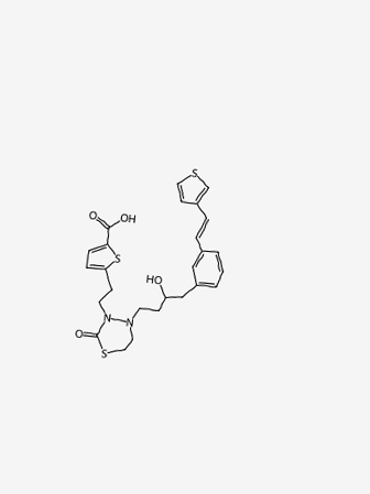 O=C(O)c1ccc(CCN2C(=O)SCCN2CCC(O)Cc2cccc(C=Cc3ccsc3)c2)s1